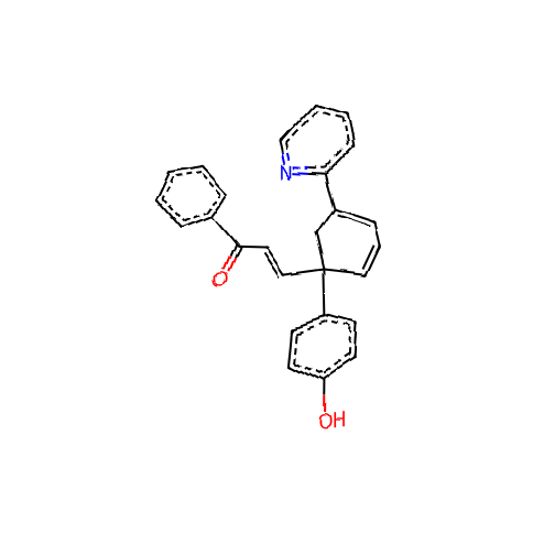 O=C(C=CC1(c2ccc(O)cc2)C=CC=C(c2ccccn2)C1)c1ccccc1